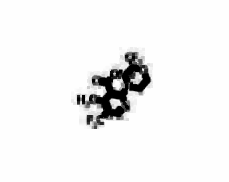 COC(=O)c1c(N2CCO[C@@H](C(F)(F)F)C2)ncc(C(F)(F)F)c1C